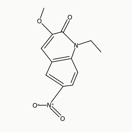 CCn1c(=O)c(OC)cc2cc([N+](=O)[O-])ccc21